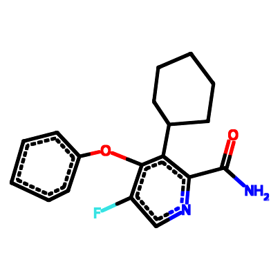 NC(=O)c1ncc(F)c(Oc2ccccc2)c1C1CCCCC1